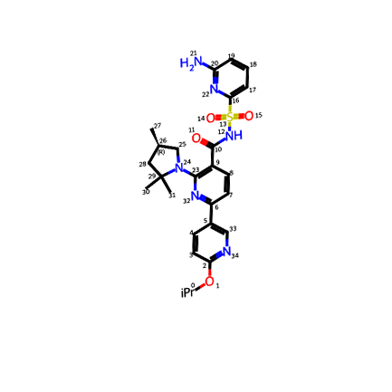 CC(C)Oc1ccc(-c2ccc(C(=O)NS(=O)(=O)c3cccc(N)n3)c(N3C[C@H](C)CC3(C)C)n2)cn1